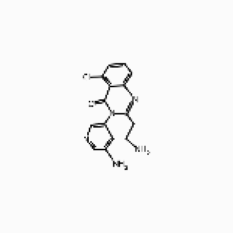 NCCc1nc2cccc(Cl)c2c(=O)n1-c1cncc(N)c1